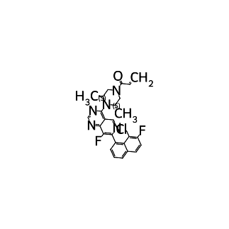 C=CC(=O)N1C[C@H](C)N(c2ncnc3c(F)c(-c4cccc5ccc(F)c(Cl)c45)ncc23)[C@@H](C)C1